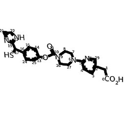 O=C(O)Cc1ccc(N2CCN(C(=O)Oc3ccc(C(S)c4ncc[nH]4)cc3)CC2)nc1